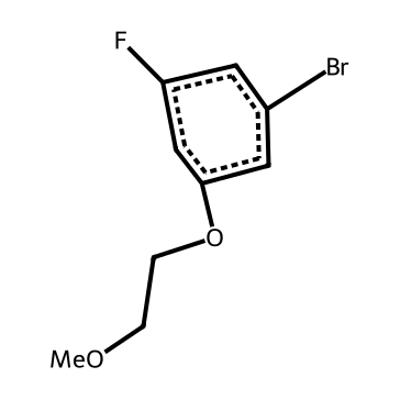 COCCOc1cc(F)cc(Br)c1